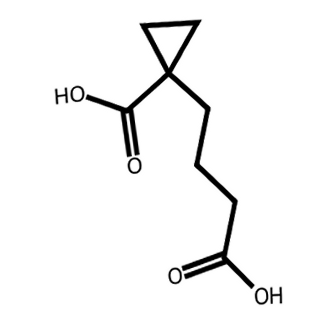 O=C(O)CCCC1(C(=O)O)CC1